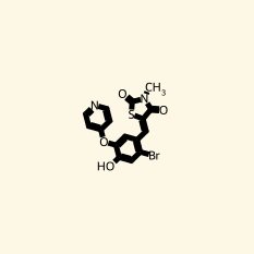 CN1C(=O)S/C(=C\c2cc(Oc3ccncc3)c(O)cc2Br)C1=O